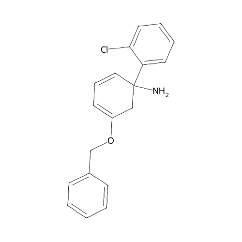 NC1(c2ccccc2Cl)C=CC=C(OCc2ccccc2)C1